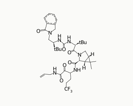 C=CCNC(=O)C(=O)C(CCC(F)(F)F)NC(=O)[C@@H]1[C@@H]2[C@H](CN1C(=O)[C@@H](NC(=O)N[C@H](CN1Cc3ccccc3C1=O)C(C)(C)C)C(C)(C)C)C2(C)C